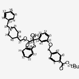 CC(C)(C)OC(=O)c1ccc(COc2cccc(C(O)(Sc3ccccc3)C(=O)OCC3CCN(Cc4ccccc4)CC3)c2)cc1